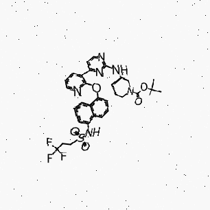 CC(C)(C)OC(=O)N1CCC[C@H](Nc2nccc(-c3cccnc3Oc3cccc4c(NS(=O)(=O)CCC(F)(F)F)cccc34)n2)C1